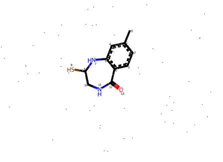 Cc1ccc2c(c1)NC(S)CNC2=O